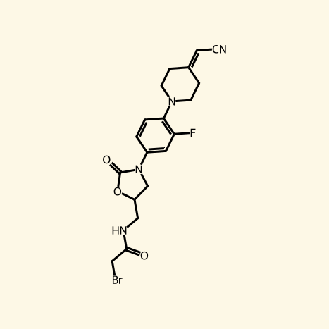 N#CC=C1CCN(c2ccc(N3CC(CNC(=O)CBr)OC3=O)cc2F)CC1